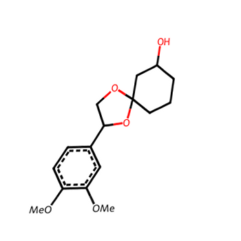 COc1ccc(C2COC3(CCCC(O)C3)O2)cc1OC